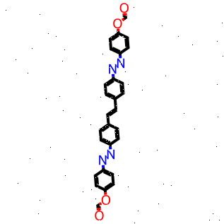 O=COc1ccc(/N=N/c2ccc(/C=C/c3ccc(/N=N/c4ccc(OC=O)cc4)cc3)cc2)cc1